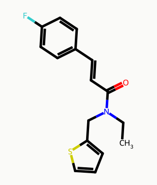 CCN(Cc1cccs1)C(=O)/C=C/c1ccc(F)cc1